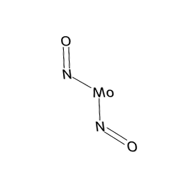 O=[N][Mo][N]=O